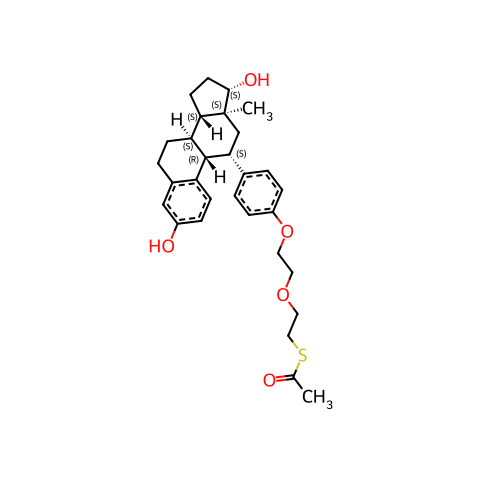 CC(=O)SCCOCCOc1ccc([C@H]2C[C@]3(C)[C@@H](O)CC[C@H]3[C@@H]3CCc4cc(O)ccc4[C@H]32)cc1